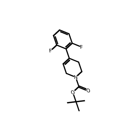 CC(C)(C)OC(=O)N1CC=C(c2c(F)cccc2F)CC1